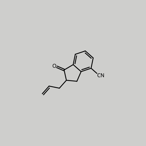 C=CCC1Cc2c(C#N)cccc2C1=O